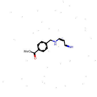 COC(=O)c1ccc(CN/C=C\C=N)cc1